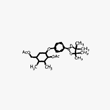 CC(=O)OCC1CC(Oc2ccc(B3OC(C)(C)C(C)(C)O3)cc2)C(OC(C)=O)C(C)C1C